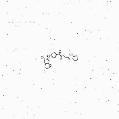 O=C(NCCC=Cc1ccccc1Cl)c1ccc(Oc2cc3c(cc2Cl)CCCO3)cc1